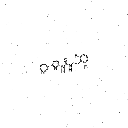 Fc1cccc(F)c1CCNC(=S)Nc1nc(-c2cccnc2)cs1